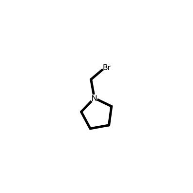 BrCN1CCCC1